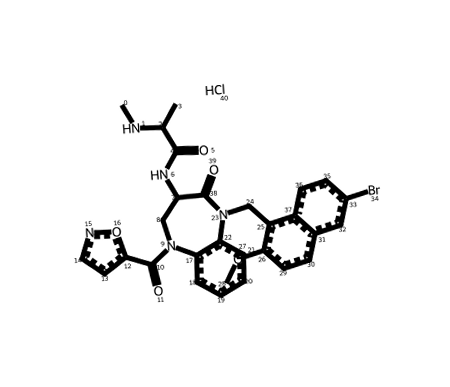 CNC(C)C(=O)NC1CN(C(=O)c2ccno2)c2ccccc2N(Cc2c(OC)ccc3cc(Br)ccc23)C1=O.Cl